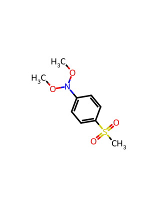 CON(OC)c1ccc(S(C)(=O)=O)cc1